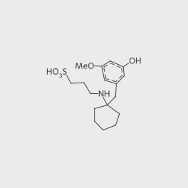 COc1cc(O)cc(CC2(NCCCS(=O)(=O)O)CCCCC2)c1